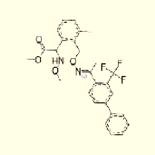 CONC(C(=O)OC)c1cccc(C)c1CO/N=C(\C)c1ccc(-c2ccccc2)cc1C(F)(F)F